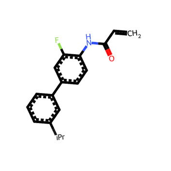 C=CC(=O)Nc1ccc(-c2cccc(C(C)C)c2)cc1F